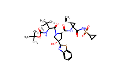 C=C[C@@H]1C[C@]1(NC(=O)[C@@H]1C[C@@](O)(c2nc3ccccc3s2)CN1C(=O)[C@@H](NC(=O)OC(C)(C)C)C(C)(C)C)C(=O)NS(=O)(=O)C1CC1